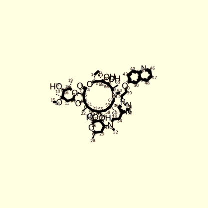 CC[C@H]1OC(=O)[C@H](C)[C@@H](O[C@H]2C[C@@](C)(OC)[C@@H](O)[C@H](C)O2)[C@H](C)[C@@H](O[C@@H]2O[C@H](C)C[C@H](N(C)CCc3cn(CCOc4ccc5ncccc5c4)nn3)[C@H]2O)[C@](C)(O)C[C@@H](C)CN(C)[C@H](C)[C@@H](O)[C@]1(C)O